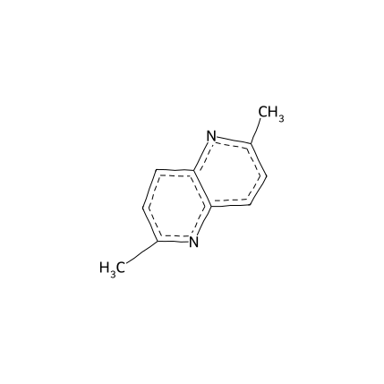 Cc1ccc2nc(C)ccc2n1